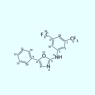 FC(F)(F)c1cc(Nc2ncc(-c3ccccc3)o2)cc(C(F)(F)F)c1